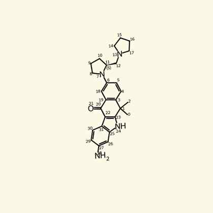 CC1(C)c2ccc(N3CCC[C@H]3CN3CCCC3)cc2C(=O)c2c1[nH]c1cc(N)ccc21